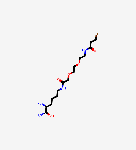 NC(CCCCNC(=O)COCCOCCNC(=O)CCS)[C@H](N)O